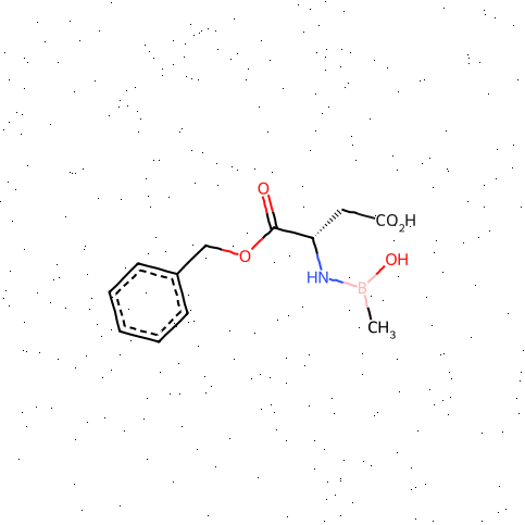 CB(O)N[C@@H](CC(=O)O)C(=O)OCc1ccccc1